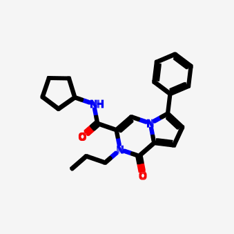 CCCn1c(C(=O)NC2CCCC2)cn2c(-c3ccccc3)ccc2c1=O